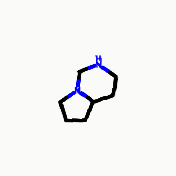 [CH]1NCCC2CCCN12